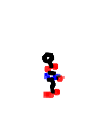 O=C(O)C=Cc1cnc(OC(=O)c2ccccc2)c[n+]1[O-]